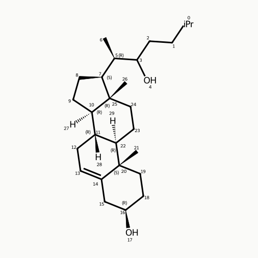 CC(C)CCC(O)[C@H](C)[C@@H]1CC[C@@H]2[C@H]3CC=C4C[C@H](O)CC[C@@]4(C)[C@@H]3CC[C@]21C